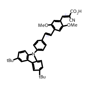 COc1cc(/C=C(\C#N)C(=O)O)c(OC)cc1/C=C/c1ccc(-n2c3ccc(C(C)(C)C)cc3c3cc(C(C)(C)C)ccc32)cc1